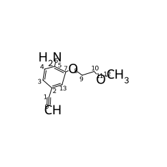 C#Cc1ccc(N)c(OCCOC)c1